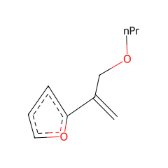 C=C(COCCC)c1ccco1